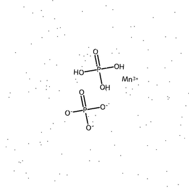 O=P(O)(O)O.O=P([O-])([O-])[O-].[Mn+3]